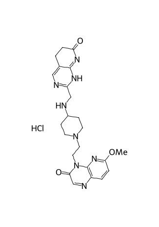 COc1ccc2ncc(=O)n(CCN3CCC(NCC4=NC=C5CCC(=O)N=C5N4)CC3)c2n1.Cl